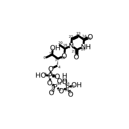 CC(O)[C@@H](COP(=O)(O)OP(=O)(O)OP(=O)(O)O)OC(C)n1ccc(=O)[nH]c1=O